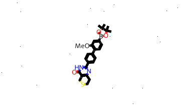 COc1cc(B2OC(C)(C)C(C)(C)O2)ccc1-c1ccc(-c2nc3c(c(=O)[nH]2)CSCC3)cc1